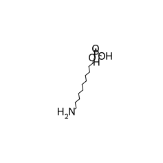 NCCCCCCCCCCCO[PH](=O)O